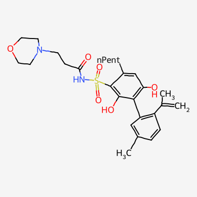 C=C(C)c1ccc(C)cc1-c1c(O)cc(CCCCC)c(S(=O)(=O)NC(=O)CCN2CCOCC2)c1O